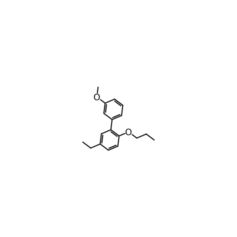 CCCOc1ccc(CC)cc1-c1cccc(OC)c1